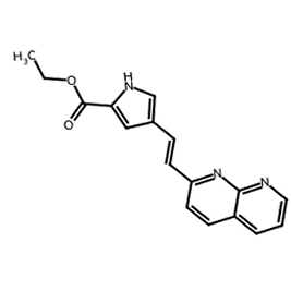 CCOC(=O)c1cc(C=Cc2ccc3cccnc3n2)c[nH]1